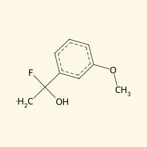 [CH2]C(O)(F)c1cccc(OC)c1